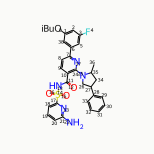 CC(C)COc1cc(F)cc(-c2ccc(C(=O)NS(=O)(=O)c3cccc(N)n3)c(N3CC(c4ccccc4)CC3C)n2)c1